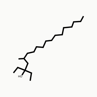 CCCCCCCCCCCCCC(C)CC(O)(CC)CC